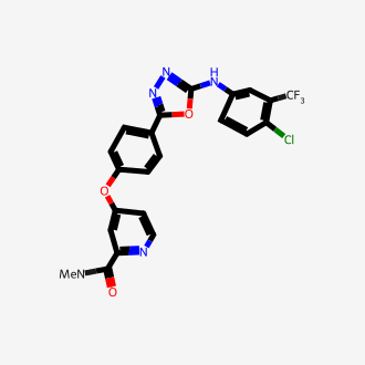 CNC(=O)c1cc(Oc2ccc(-c3nnc(Nc4ccc(Cl)c(C(F)(F)F)c4)o3)cc2)ccn1